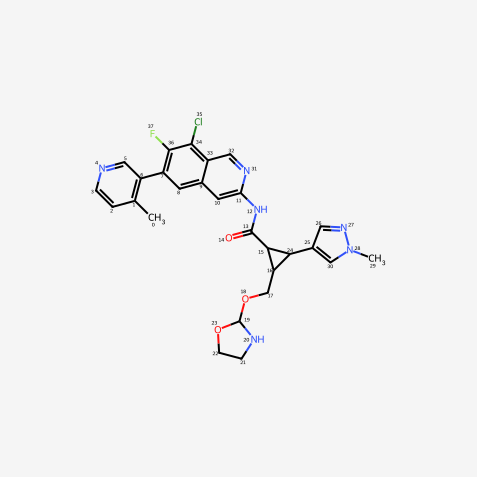 Cc1ccncc1-c1cc2cc(NC(=O)C3C(COC4NCCO4)C3c3cnn(C)c3)ncc2c(Cl)c1F